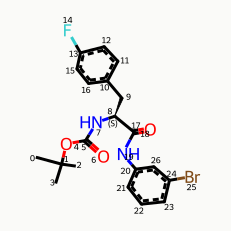 CC(C)(C)OC(=O)N[C@@H](Cc1ccc(F)cc1)C(=O)Nc1cccc(Br)c1